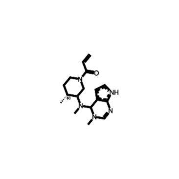 C=CC(=O)N1CC[C@@H](C)C(N(C)C2c3cc[nH]c3N=CN2C)C1